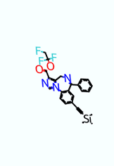 C[Si](C)(C)C#Cc1ccc2c(c1)C(c1ccccc1)=NCc1c(C(=O)OC(F)(F)CF)ncn1-2